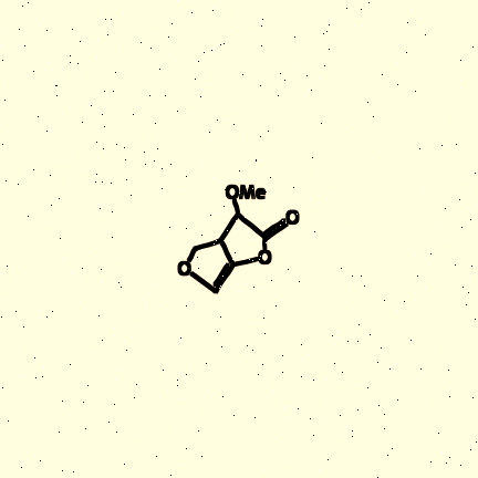 COC1C(=O)OC2=COCC21